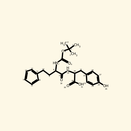 CC(C)(C)OC(=O)NC(CCc1ccccc1)C(=O)NC(Cc1ccc(O)cc1)C(=O)O